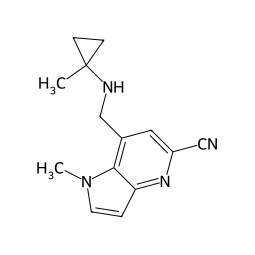 Cn1ccc2nc(C#N)cc(CNC3(C)CC3)c21